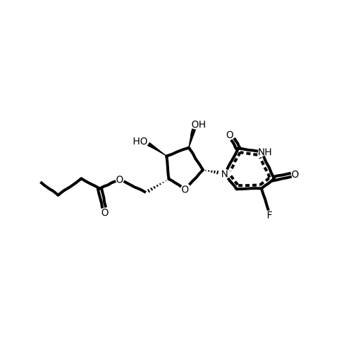 CCCC(=O)OC[C@H]1O[C@@H](n2cc(F)c(=O)[nH]c2=O)[C@H](O)[C@@H]1O